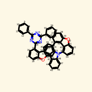 c1ccc(-c2nc(-c3ccccc3)nc(-c3cccc4oc5ccc(-c6cccc7oc8cccc(-n9c%10ccccc%10c%10ccccc%109)c8c67)cc5c34)n2)cc1